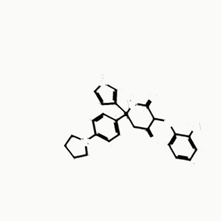 O=C1CC(c2ccc(N3CCCC3)cc2)(c2ccsc2)NC(=O)C1Sc1ccccc1Cl